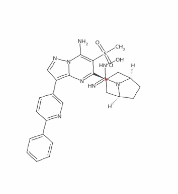 CS(=O)(=O)c1c([C@H]2C[C@H]3CC[C@@H](C2)N3C(=N)NO)nc2c(-c3ccc(-c4ccccc4)nc3)cnn2c1N